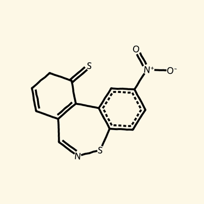 O=[N+]([O-])c1ccc2c(c1)C1=C(C=CCC1=S)C=NS2